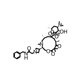 CO[C@]1(C)C[C@@H](C)CN(C)[C@H](C2CN(CC(=O)NCc3ccccc3)C2)COC(=O)C(C)(C)C(=O)[C@H](C)[C@H]1O[C@@H]1O[C@H](C)C[C@H](N(C)C)[C@H]1O